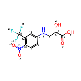 O=C(O)[C@@H](O)CNc1ccc([N+](=O)[O-])c(C(F)(F)F)c1